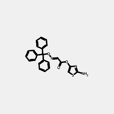 Nc1nc(OC(=O)C=NOC(c2ccccc2)(c2ccccc2)c2ccccc2)cs1